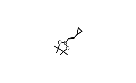 CC1(C)OB(C=CC2CC2)OC1(C)C